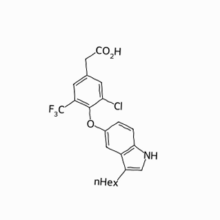 CCCCCCc1c[nH]c2ccc(Oc3c(Cl)cc(CC(=O)O)cc3C(F)(F)F)cc12